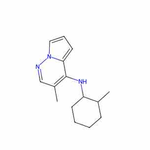 Cc1cnn2cccc2c1NC1CCCCC1C